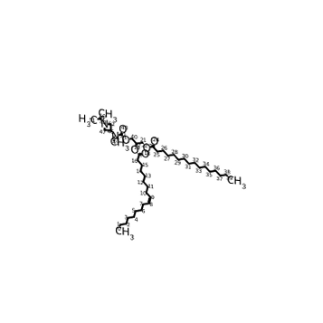 CCCCCCCC/C=C\CCCCCCCC(=O)OC(COC(=O)CCCCCCCCCCCCCCC)COC(=O)N(C)C1CN(C(C)C)C1